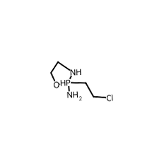 N[PH]1(CCCl)NCCO1